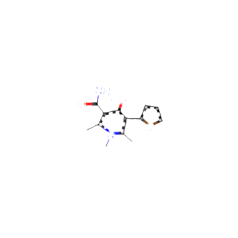 Cc1c(C(N)=O)c(=O)c(-c2cccs2)c(C)n1C